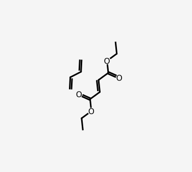 C=CC=C.CCOC(=O)C=CC(=O)OCC